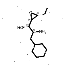 CC[C@H]1O[C@@H]1[C@@H](O)[C@@H](N)CC1CCCCC1